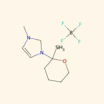 CN1C=CN(C2([SiH3])CCCCO2)C1.F[B-](F)(F)F